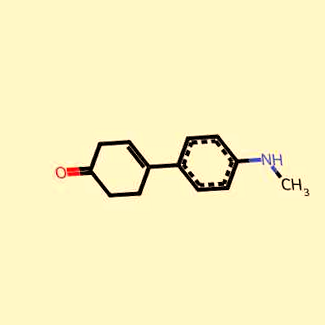 CNc1ccc(C2=CCC(=O)CC2)cc1